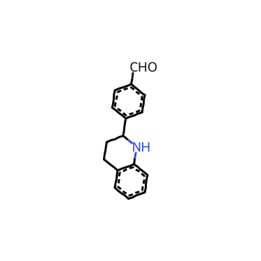 O=Cc1ccc(C2CCc3ccccc3N2)cc1